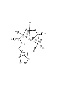 O=C(OCC1CC2C=CC1C2)C(F)(F)CC(F)(F)CC(F)(F)CC(F)(F)F